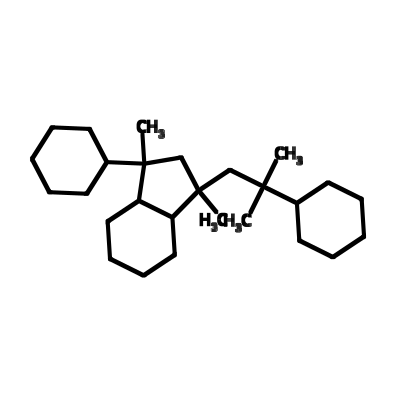 CC(C)(CC1(C)CC(C)(C2CCCCC2)C2CCCCC21)C1CCCCC1